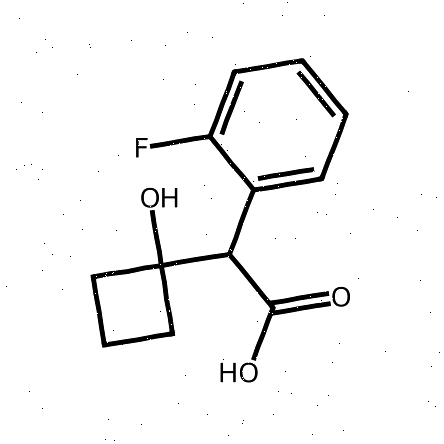 O=C(O)C(c1ccccc1F)C1(O)CCC1